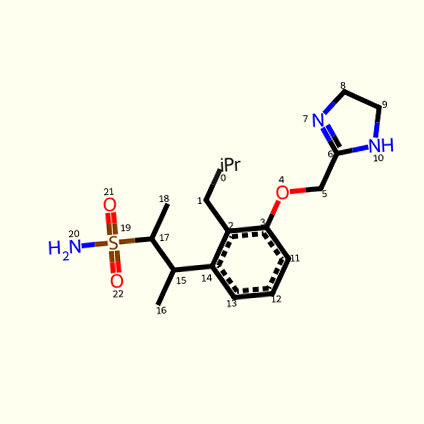 CC(C)Cc1c(OCC2=NCCN2)cccc1C(C)C(C)S(N)(=O)=O